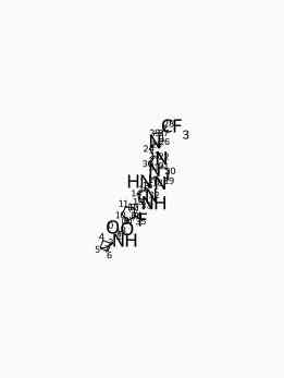 O=C(NC12CC(C1)C2)O[C@@H]1CC[C@H](c2cc(Nc3nccc4nc(CN5CC(C(F)(F)F)C5)cn34)n[nH]2)[C@H]1F